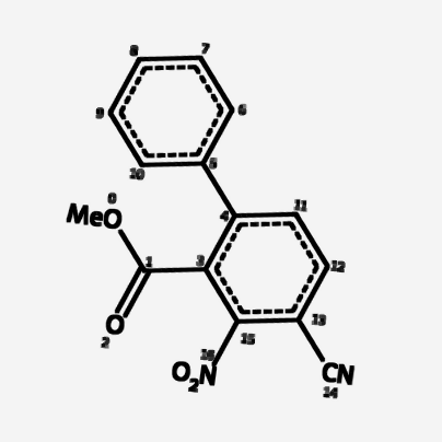 COC(=O)c1c(-c2ccccc2)ccc(C#N)c1[N+](=O)[O-]